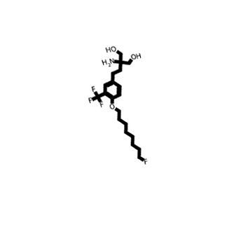 NC(CO)(CO)CCc1ccc(OCCCCCCCCF)c(C(F)(F)F)c1